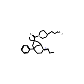 CC/C=C1\CCC2(c3ccccc3)CC1CC(CC)(C(=O)N1CCC(CCN)CC1)C2